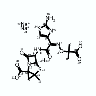 CC(C)(O/N=C(\C(=O)N[C@@H]1C(=O)N2[C@@H]1SC1(C)C[C@]21C(=O)[O-])c1csc(N)n1)C(=O)[O-].[Na+].[Na+]